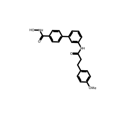 COc1ccc(CCC(=O)Nc2cccc(-c3ccc(C(=O)NO)cc3)c2)cc1